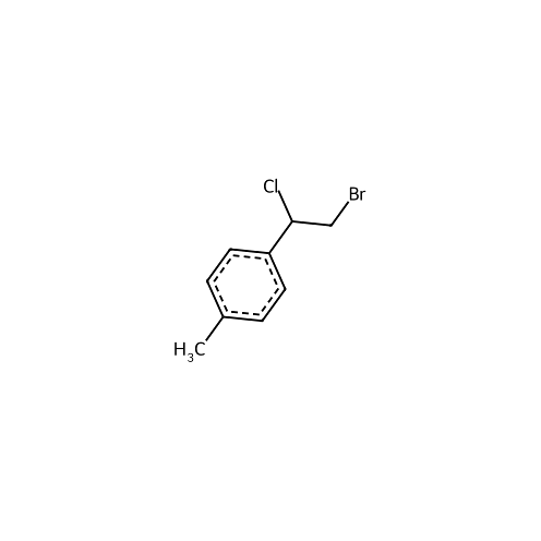 Cc1ccc(C(Cl)CBr)cc1